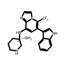 FC(F)(F)c1c(-c2c[nH]c3ccccc23)cc(N[C@]2([SiH3])CCCNC2)c2nccn12